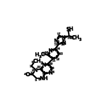 CCN1C(=O)CNc2ncc(-c3ccc(-c4ncn(C(C)S)n4)nc3C)nc21